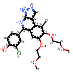 COCCOc1cc2c(-c3ccc(O)c(Cl)c3)nc3[nH]ncc3c2c(C)c1OCCOC